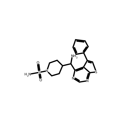 NC(c1ncnc2scc(-c3ccccc3)c12)C1CCN(S(N)(=O)=O)CC1